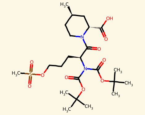 C[C@@H]1CCN(C(=O)[C@H](CCCOS(C)(=O)=O)N(C(=O)OC(C)(C)C)C(=O)OC(C)(C)C)[C@@H](C(=O)O)C1